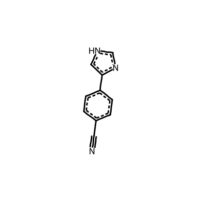 N#Cc1ccc(-c2c[nH]cn2)cc1